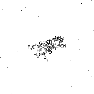 CC1(C)CC[C@]2(C(=O)NCC(F)(F)F)CC[C@]3(C)[C@H](C(=O)C=C4[C@@]5(C)C=C(C#N)C(=O)[C@@](C)(O)[C@@H]5CC[C@]43C)[C@@H]2C1